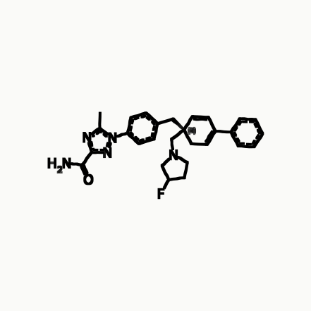 Cc1nc(C(N)=O)nn1-c1ccc(C[C@@]2(CN3CCC(F)C3)C=CC(c3ccccc3)=CC2)cc1